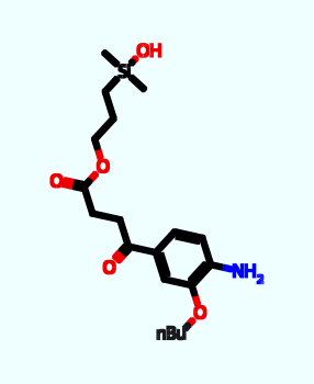 CCCCOc1cc(C(=O)CCC(=O)OCCC[Si](C)(C)O)ccc1N